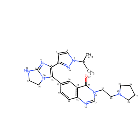 CC(C)n1ccc(-c2nc3n(c2-c2ccc4ncn(CCN5CCCC5)c(=O)c4c2)CCN3)n1